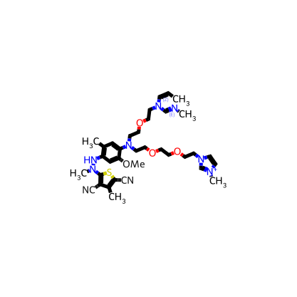 C/C=C\N(/C=N/C)CCOCCN(CCOCCOCCn1cc[n+](C)c1)c1cc(C)c(NN(C)c2sc(C#N)c(C)c2C#N)cc1OC